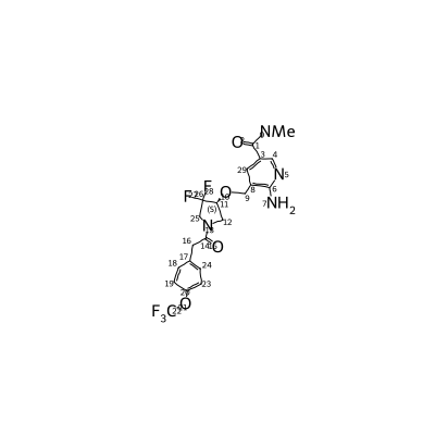 CNC(=O)c1cnc(N)c(CO[C@H]2CN(C(=O)Cc3ccc(OC(F)(F)F)cc3)CC2(F)F)c1